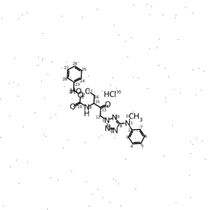 CN(c1ccccc1)c1nnn(CC(=O)C(CC(=O)O)NC(=O)OCc2ccccc2)n1.Cl